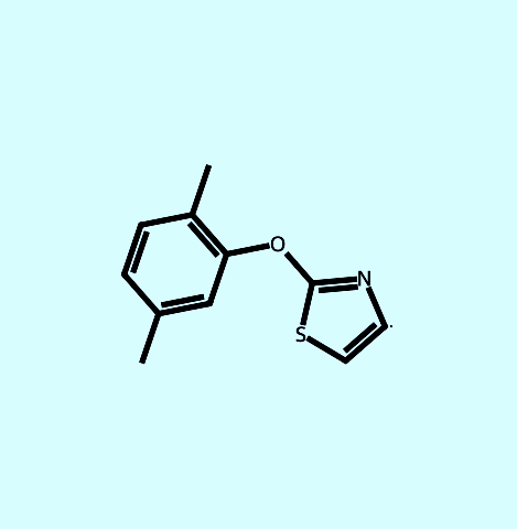 Cc1ccc(C)c(Oc2n[c]cs2)c1